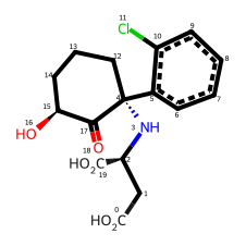 O=C(O)C[C@H](N[C@@]1(c2ccccc2Cl)CCC[C@H](O)C1=O)C(=O)O